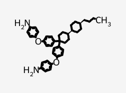 CCCC[C@H]1CC[C@@H](C2CCC(c3ccc(Oc4ccc(N)cc4)cc3)(c3ccc(Oc4ccc(N)cc4)cc3)CC2)CC1